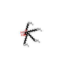 CCCCCCCCCc1c(O)c(O)c(OCCCCCCC)c(CCCCCCCCC)c1CCCCCCCCC